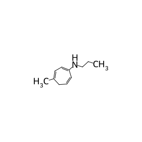 CCCNC1=CC=C(C)CC=C1